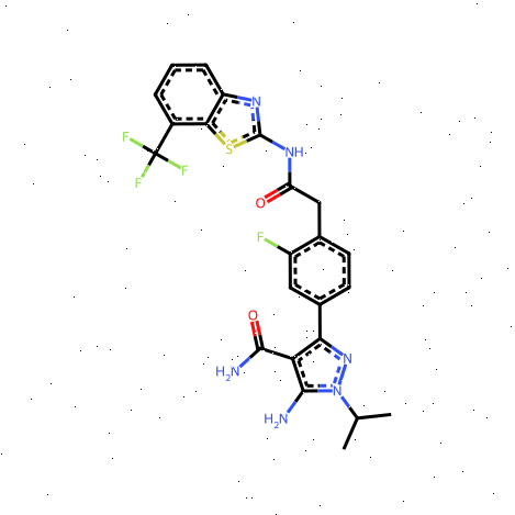 CC(C)n1nc(-c2ccc(CC(=O)Nc3nc4cccc(C(F)(F)F)c4s3)c(F)c2)c(C(N)=O)c1N